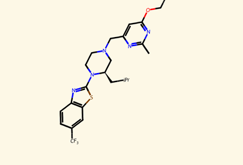 Cc1nc(CN2CCN(c3nc4ccc(C(F)(F)F)cc4s3)[C@H](CC(C)C)C2)cc(OCC(=O)O)n1